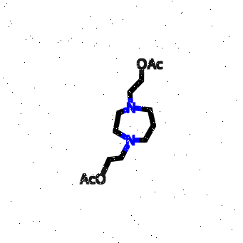 CC(=O)OCCN1CCCN(CCOC(C)=O)CC1